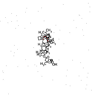 Cc1nnc(C(C)C)n1C1CC2CCC(C1)N2C(=O)[C@]12CC[C@@H](C3(C)CC3)[C@@H]1[C@H]1CC[C@@H]3[C@@]4(C)CC[C@H](OC(=O)CC(C)(C)CC(=O)O)C(C)(C)[C@@H]4CC[C@@]3(C)[C@]1(C)CC2